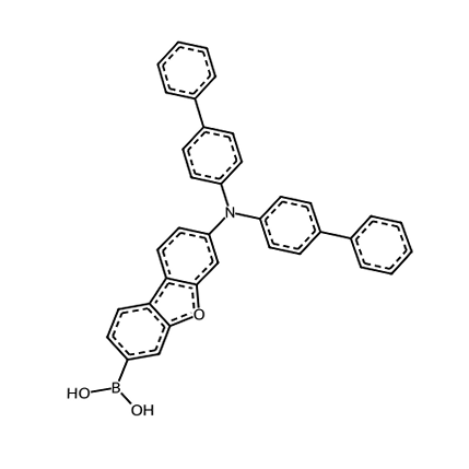 OB(O)c1ccc2c(c1)oc1cc(N(c3ccc(-c4ccccc4)cc3)c3ccc(-c4ccccc4)cc3)ccc12